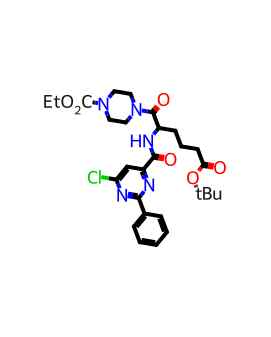 CCOC(=O)N1CCN(C(=O)C(CCCC(=O)OC(C)(C)C)NC(=O)c2cc(Cl)nc(-c3ccccc3)n2)CC1